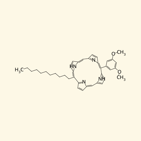 CCCCCCCCCCCc1c2nc(cc3ccc([nH]3)c(-c3cc(OC)cc(OC)c3)c3nc(cc4ccc1[nH]4)C=C3)C=C2